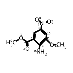 COC(=O)c1cc([N+](=O)[O-])cc(OC)c1N